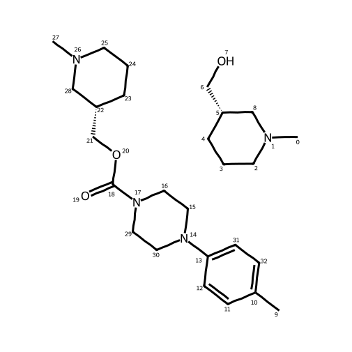 CN1CCC[C@H](CO)C1.Cc1ccc(N2CCN(C(=O)OC[C@H]3CCCN(C)C3)CC2)cc1